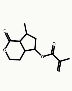 C=C(C)C(=O)OC1CC(C)C2C(=O)OCCC12